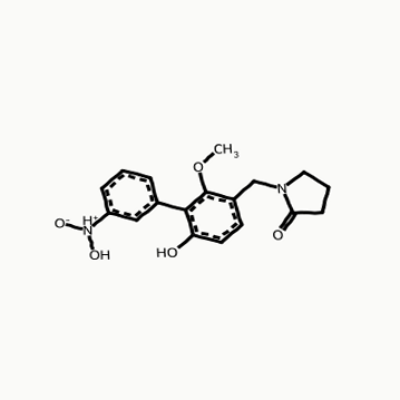 COc1c(CN2CCCC2=O)ccc(O)c1-c1cccc([NH+]([O-])O)c1